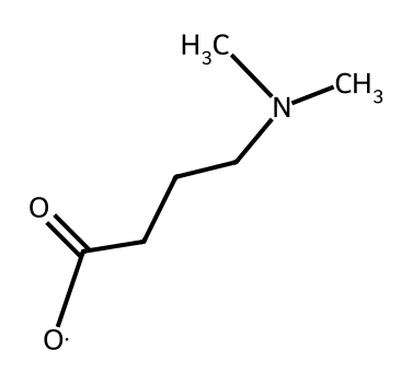 CN(C)CCCC([O])=O